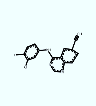 C#Cc1ccc2ncnc(Nc3ccc(F)c(Cl)c3)c2c1